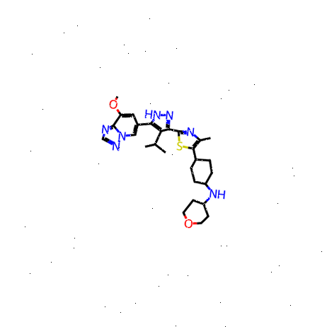 COc1cc(-c2[nH]nc(-c3nc(C)c(C4CCC(NC5CCOCC5)CC4)s3)c2C(C)C)cn2ncnc12